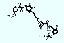 COC1CCCN(C(=O)C(=O)Nc2ccn(CCC(F)Cn3cc(C(=O)NCc4cc(OC(C)(F)F)ccc4F)nn3)c(=O)c2F)C1